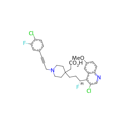 COc1ccc2ncc(Cl)c([C@H](F)CCC3(CC(=O)O)CCN(CC#Cc4ccc(Cl)c(F)c4)CC3)c2c1